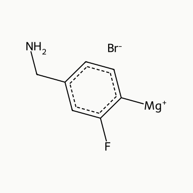 NCc1cc[c]([Mg+])c(F)c1.[Br-]